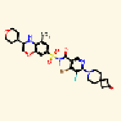 O=C1CC2(CCN(c3ncc(C(=O)NS(=O)(=O)c4cc5c(c([N+](=O)[O-])c4)N[C@H](C4CCOCC4)CO5)c(Br)c3F)CC2)C1